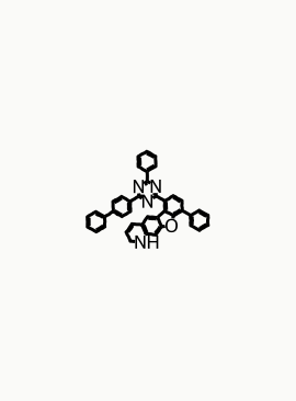 C1=Cc2cc3c(cc2NC1)oc1c(-c2ccccc2)ccc(-c2nc(-c4ccccc4)nc(-c4ccc(-c5ccccc5)cc4)n2)c13